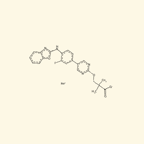 CC(C)(COc1ncc(-c2ccc(Nc3nc4ccccc4o3)c(F)c2)cn1)C(=O)[O-].[Na+]